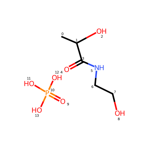 CC(O)C(=O)NCCO.O=P(O)(O)O